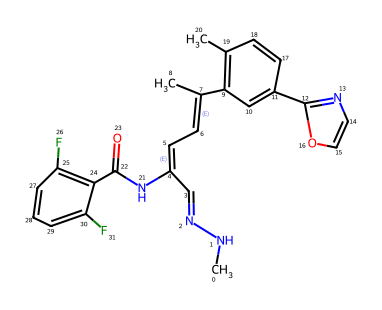 CNN=C/C(=C\C=C(/C)c1cc(-c2ncco2)ccc1C)NC(=O)c1c(F)cccc1F